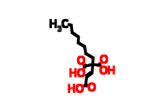 CCCCCCCCC(C=CC(=O)O)(C(=O)O)C(=O)O